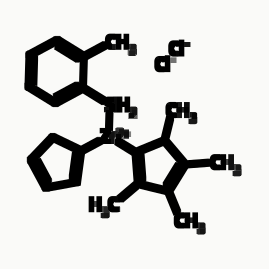 CC1=C(C)C(C)[C]([Zr+2]([SiH2]c2ccccc2C)[C]2=CC=CC2)=C1C.[Cl-].[Cl-]